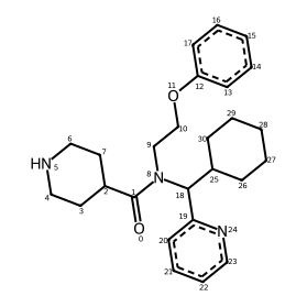 O=C(C1CCNCC1)N(CCOc1ccccc1)C(c1ccccn1)C1CCCCC1